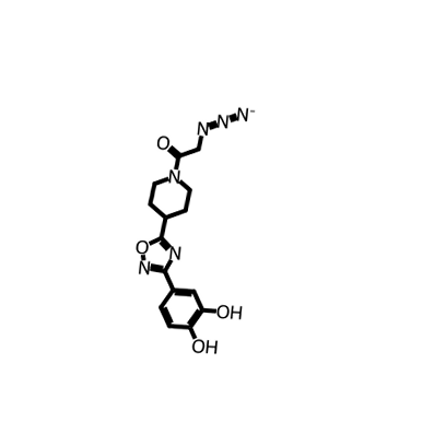 [N-]=[N+]=NCC(=O)N1CCC(c2nc(-c3ccc(O)c(O)c3)no2)CC1